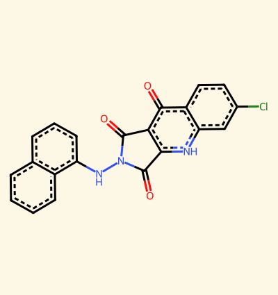 O=C1c2[nH]c3cc(Cl)ccc3c(=O)c2C(=O)N1Nc1cccc2ccccc12